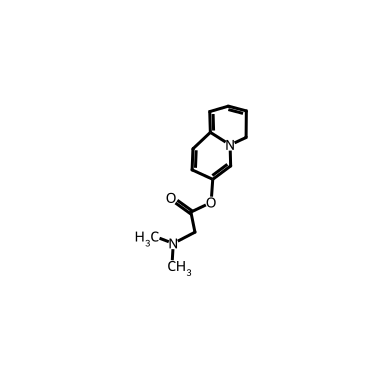 CN(C)CC(=O)OC1=CN2CC=CC=C2C=C1